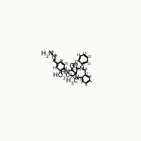 CN1c2ccccc2CN(c2ccccc2)C(=O)C1(CC(=O)O)C(=O)Nc1ccc(C=NN)cc1